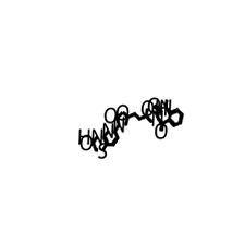 Cn1c(=O)n(CC(O)CCC2CN(c3ccc4c(n3)NC(=O)CS4)C(=O)O2)c(=O)c2ccccc21